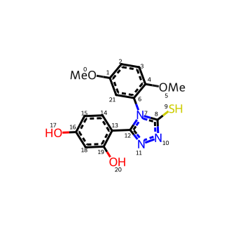 COc1ccc(OC)c(-n2c(S)nnc2-c2ccc(O)cc2O)c1